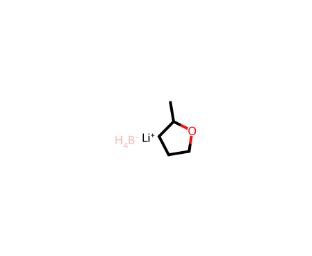 CC1CCCO1.[BH4-].[Li+]